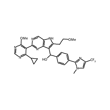 COCCc1[nH]c2cnc(-c3c(OC)ncnc3C3CC3)nc2c1C(O)c1ccc(-c2nc(C(F)(F)F)cn2C)cc1